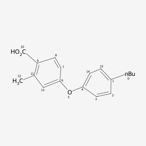 CCCCc1ccc(Oc2ccc(C(=O)O)c(C)c2)cc1